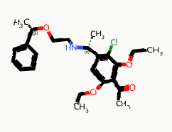 CCOc1cc([C@@H](C)NCCO[C@@H](C)c2ccccc2)c(Cl)c(OCC)c1C(C)=O